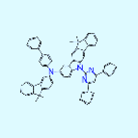 CC1(C)c2ccccc2-c2cc(N(c3ccc(-c4ccccc4)cc3)c3ccc4c(c3)c3cc5c(cc3n4-c3nc(-c4ccccc4)cc(-c4ccccc4)n3)-c3ccccc3C5(C)C)ccc21